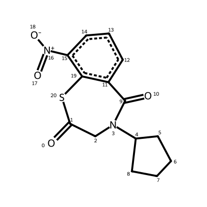 O=C1CN(C2CCCC2)C(=O)c2cccc([N+](=O)[O-])c2S1